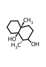 C[C@H]1C(O)CC[C@@]2(C)CCCC[C@@]12O